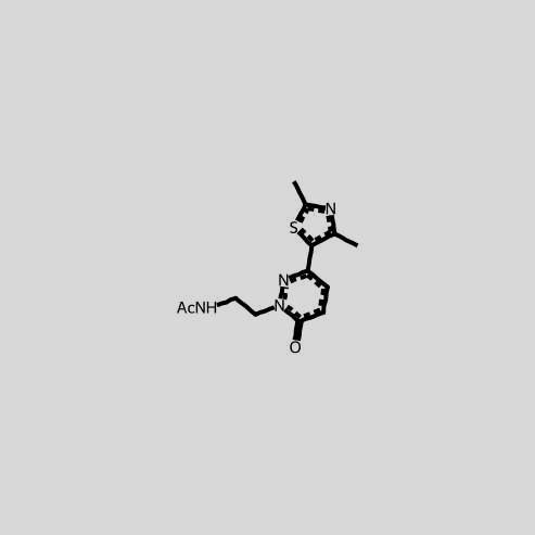 CC(=O)NCCn1nc(-c2sc(C)nc2C)ccc1=O